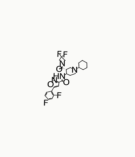 O=C(N[C@@H]1CCN(C2CCCCC2)C[C@H]1C(=O)N1CC(F)(F)C1)c1cc(-c2ccc(F)cc2F)on1